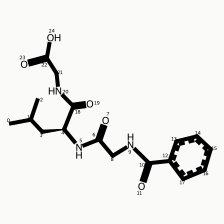 CC(C)C[C@H](NC(=O)CNC(=O)c1ccccc1)C(=O)NCC(=O)O